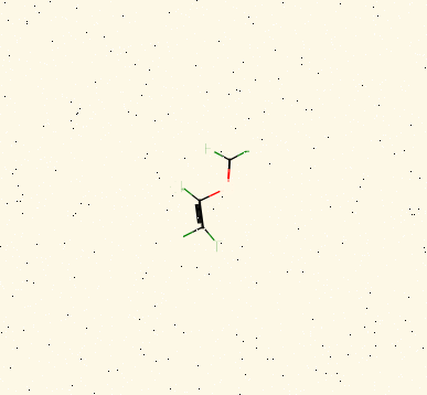 FC(F)=C(Cl)OC(F)F